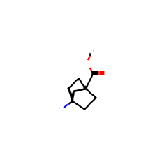 CCCOC(=O)C12CCC(N)(CC1)C2